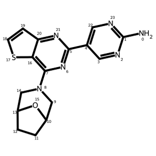 Nc1ncc(-c2nc(N3CC4CCC(C3)O4)c3sccc3n2)cn1